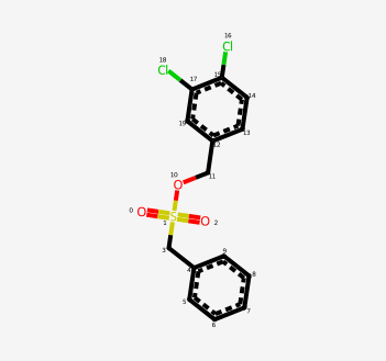 O=S(=O)(Cc1ccccc1)OCc1ccc(Cl)c(Cl)c1